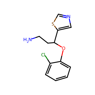 NCCC(Oc1ccccc1Cl)c1cncs1